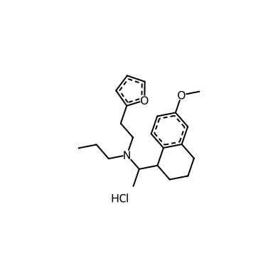 CCCN(CCc1ccco1)C(C)C1CCCc2cc(OC)ccc21.Cl